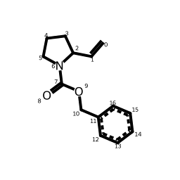 C=CC1CCCN1C(=O)OCc1ccccc1